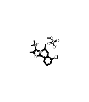 COS(=O)(=O)[O-].Cc1nc2c3cccc(Cl)c3cc(C)n2c1[N+](C)(C)C